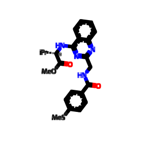 COC(=O)[C@@H](Nc1nc(CNC(=O)c2ccc(SC)cc2)nc2ccccc12)C(C)C